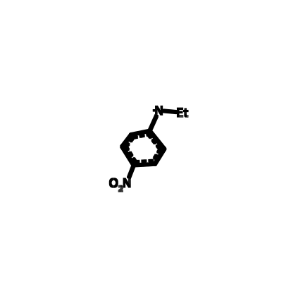 CC[N]c1ccc([N+](=O)[O-])cc1